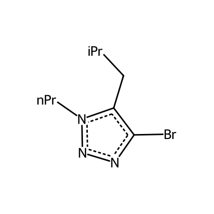 CCCn1nnc(Br)c1CC(C)C